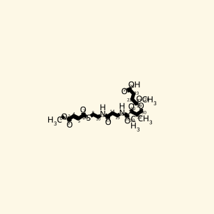 COC(=O)/C=C/C(=O)SCCNC(=O)CCNC(=O)[C@@H]1OC(CCC(=O)O)(OC)OCC1(C)C